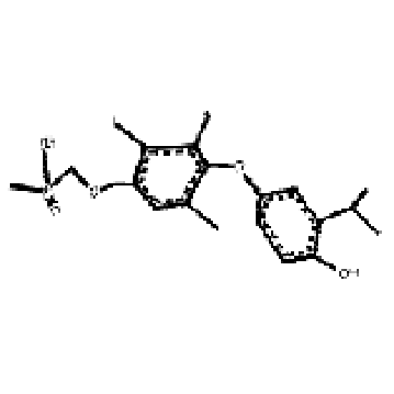 Cc1cc(OCP(C)(=O)O)c(I)c(C)c1Oc1ccc(O)c(C(C)C)c1